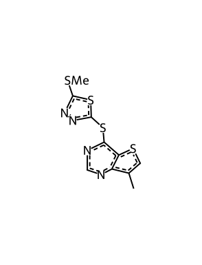 CSc1nnc(Sc2ncnc3c(C)csc23)s1